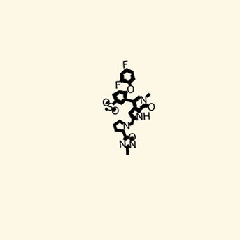 Cc1noc(C2CCCN2Cc2cc3c(-c4cc(S(C)(=O)=O)ccc4Oc4ccc(F)cc4F)cn(C)c(=O)c3[nH]2)n1